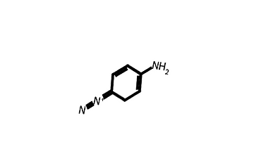 [N-]=[N+]=C1C=CC(N)=CC1